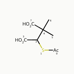 CC(=O)SC(C(=O)O)C(C)(C)C(=O)O